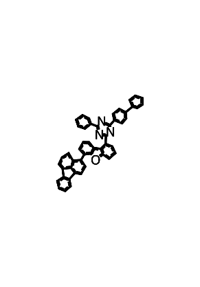 c1ccc(-c2ccc(-c3nc(-c4ccccc4)nc(-c4cccc5oc6c(-c7ccc8c9c(cccc79)-c7ccccc7-8)cccc6c45)n3)cc2)cc1